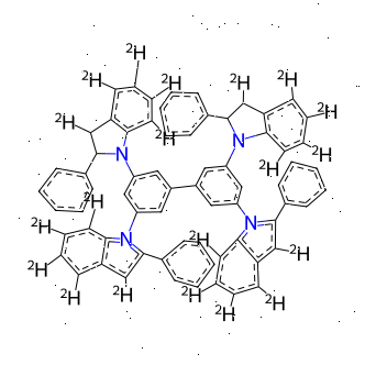 [2H]c1c([2H])c([2H])c2c(c1[2H])C([2H])C(c1ccccc1)N2c1cc(-c2cc(N3c4c([2H])c([2H])c([2H])c([2H])c4C([2H])C3c3ccccc3)cc(-n3c(-c4ccccc4)c([2H])c4c([2H])c([2H])c([2H])c([2H])c43)c2)cc(-n2c(-c3ccccc3)c([2H])c3c([2H])c([2H])c([2H])c([2H])c32)c1